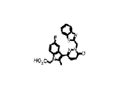 Cc1c(-c2ccc(=O)n(Cc3nc4ccccc4s3)n2)c2cc(F)ccc2n1CC(=O)O